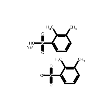 Cc1cccc(S(=O)(=O)O)c1C.Cc1cccc(S(=O)(=O)[O-])c1C.[Na+]